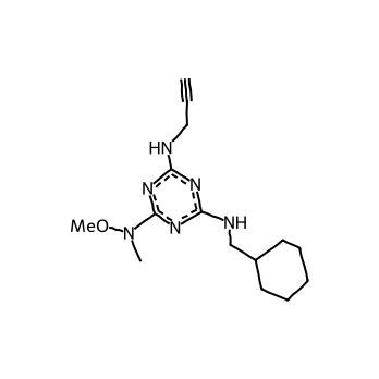 C#CCNc1nc(NCC2CCCCC2)nc(N(C)OC)n1